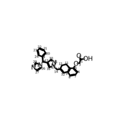 O=C(O)COc1cccc2c1CCC(Cn1cc(C(c3ccccc3)n3ccnc3)cn1)=C2